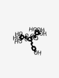 O=C(Oc1cc(C=Cc2ccc(O)cc2)cc(OC(=O)c2cc(O)c(O)c(O)c2)c1)c1cc(O)c(O)c(O)c1